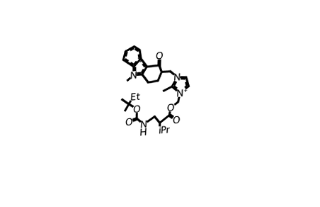 CCC(C)(C)OC(=O)NCC(C(=O)OC[n+]1ccn(CC2CCc3c(c4ccccc4n3C)C2=O)c1C)C(C)C